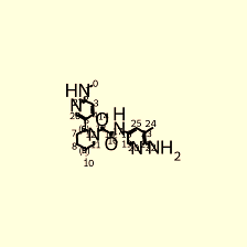 CNc1ccc([C@@H]2CC[C@@H](C)CN2C(=O)C(=O)Nc2cnc(N)c(C)c2)cn1